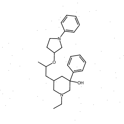 CCN1CC(CC(C)OC2CCN(c3ccccc3)C2)CC(O)(c2ccccc2)C1